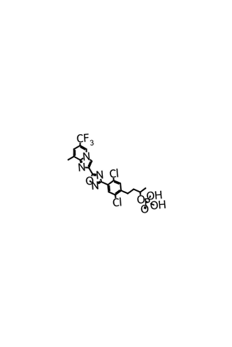 Cc1cc(C(F)(F)F)cn2cc(-c3nc(-c4cc(Cl)c(CCC(C)OP(=O)(O)O)cc4Cl)no3)nc12